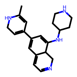 CC1=CC(C2=CC3=CC=NCC3C(NC3CCNCC3)=C2)=CCN1